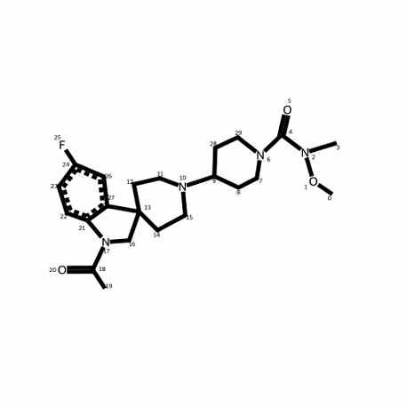 CON(C)C(=O)N1CCC(N2CCC3(CC2)CN(C(C)=O)c2ccc(F)cc23)CC1